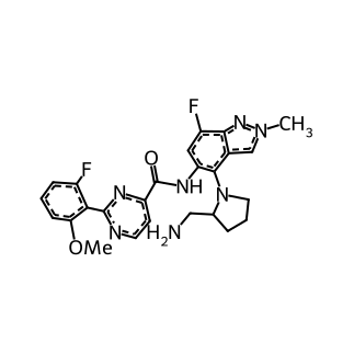 COc1cccc(F)c1-c1nccc(C(=O)Nc2cc(F)c3nn(C)cc3c2N2CCCC2CN)n1